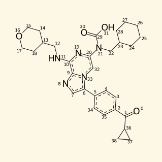 O=C(c1ccc(-c2cnc3c(NCC4CCOCC4)nc(N(CC4CCCCC4)C(=O)O)cn23)cc1)C1CC1